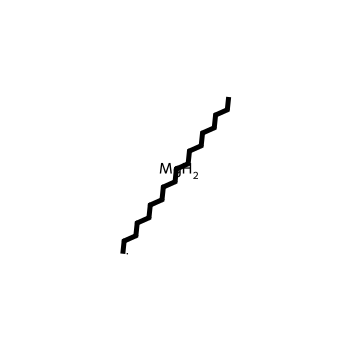 [CH2]CCCCCCCCCCCCCCCCC.[MgH2]